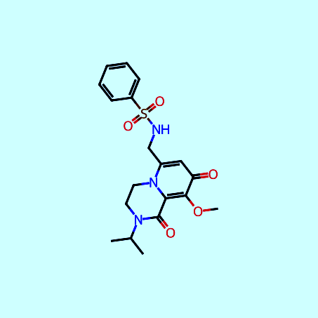 COc1c2n(c(CNS(=O)(=O)c3ccccc3)cc1=O)CCN(C(C)C)C2=O